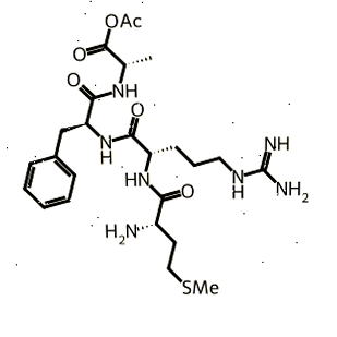 CSCC[C@H](N)C(=O)N[C@@H](CCCNC(=N)N)C(=O)N[C@@H](Cc1ccccc1)C(=O)N[C@@H](C)C(=O)OC(C)=O